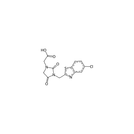 O=C(O)CN1CC(=O)N(Cc2nc3cc(Cl)ccc3s2)C1=O